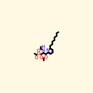 CCCCCCCCc1cccc(C(OC(C)=O)C(COC(C)=O)NC(C)=O)n1